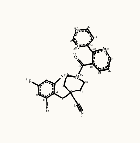 N#CC1(Cc2c(F)cc(F)cc2F)CCN(C(=O)c2cccnc2-c2ccncn2)CC1